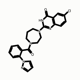 O=C(c1ccccc1-n1cccn1)N1CCCN(c2nc3ccc(Cl)cc3c(=O)[nH]2)CC1